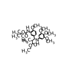 CCOC(=O)[C@@H](C)[C@@H](Nc1cc(OC)c(OC)c(OC)c1)c1ccc(OC)c(NC(=O)OC(C)(C)C)c1